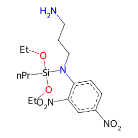 CCC[Si](OCC)(OCC)N(CCCN)c1ccc([N+](=O)[O-])cc1[N+](=O)[O-]